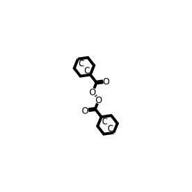 O=C(OOC(=O)C12CCC(CC1)CC2)C12CCC(CC1)CC2